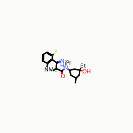 CCC1(O)CC(C)CC(N(C(=O)C(C)C(=N)c2c(F)cccc2NC)C(C)C)C1